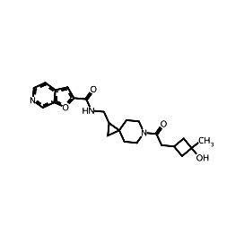 CC1(O)CC(CC(=O)N2CCC3(CC2)CC3CNC(=O)c2cc3ccncc3o2)C1